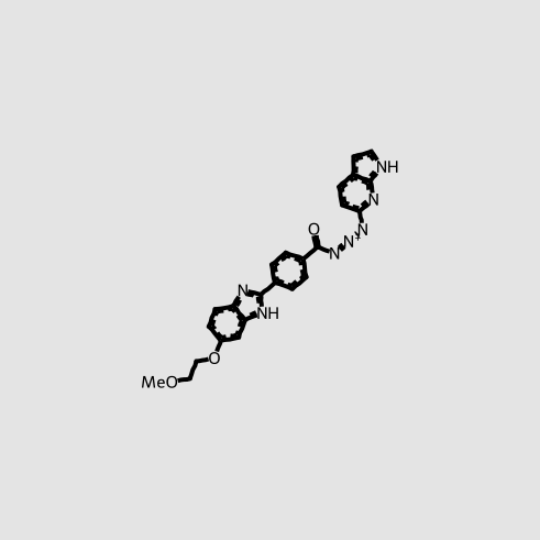 COCCOc1ccc2nc(-c3ccc(C(=O)N=[N+]=Nc4ccc5cc[nH]c5n4)cc3)[nH]c2c1